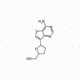 Nc1ncnc2c(C3CCC(CO)O3)csc12